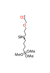 CO[Si](CCCCCCCCOCC1CO1)(OC)OC.[SiH4]